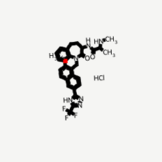 CNC(C)C(=O)NC1CCc2ccccc2N(Cc2c(OC)ccc3cc(-c4nnc(C(F)(F)F)[nH]4)ccc23)C1=O.Cl